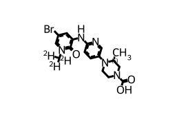 [2H]C([2H])([2H])n1cc(Br)cc(Nc2ccc(N3CCN(C(=O)O)C[C@@H]3C)cn2)c1=O